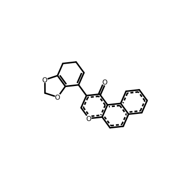 O=c1c(C2=CCCC3=C2OCO3)coc2ccc3ccccc3c12